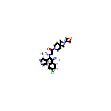 CN(CC(=O)N1CCC2(CC1)CN(C1COC1)C2)/C(=C(\N)c1ccc(Cl)cc1)c1ccncc1